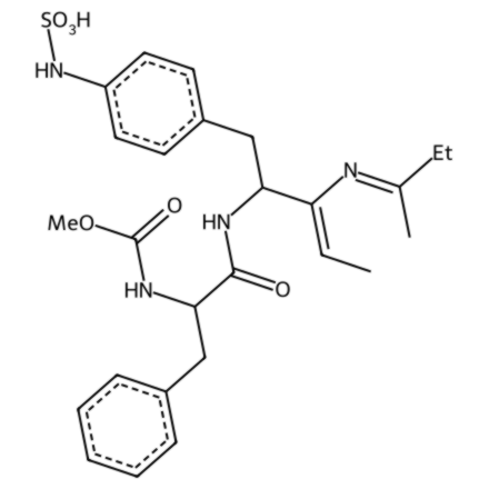 C/C=C(\N=C(/C)CC)C(Cc1ccc(NS(=O)(=O)O)cc1)NC(=O)C(Cc1ccccc1)NC(=O)OC